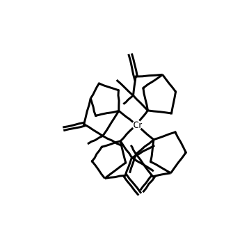 C=C1C2CC[C]([Cr]([C]34CCC(C3)C(=C)C4(C)C)([C]34CCC(C3)C(=C)C4(C)C)[C]34CCC(C3)C(=C)C4(C)C)(C2)C1(C)C